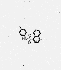 Cc1ccc(NS(=O)(=O)c2cc[c]c3ccccc23)cc1